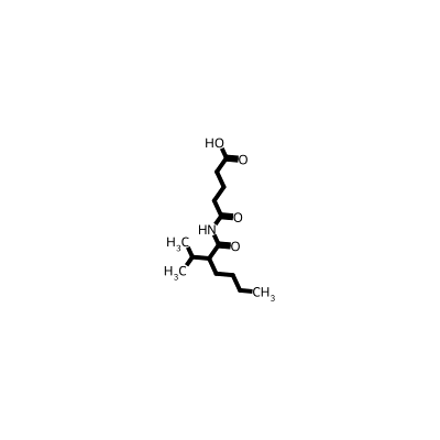 CCCCC(C(=O)NC(=O)CCCC(=O)O)C(C)C